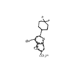 CC(C)(C)c1cc(C2CCC(F)(F)CC2)nc2cc(C(=O)O)oc12